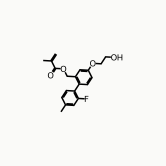 C=C(C)C(=O)OCc1cc(OCCO)ccc1-c1ccc(C)cc1F